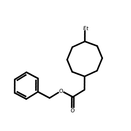 CCC1CCCC(CC(=O)OCc2ccccc2)CCC1